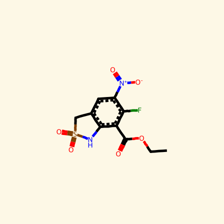 CCOC(=O)c1c(F)c([N+](=O)[O-])cc2c1NS(=O)(=O)C2